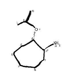 CC(C)O[C@H]1CCCCC[C@@H]1N